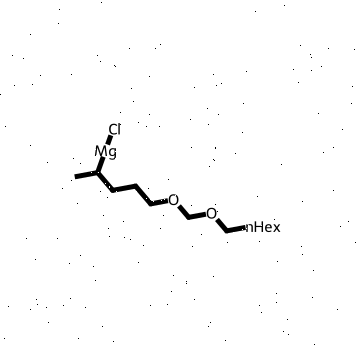 CCCCCCCOCOCCC[CH](C)[Mg][Cl]